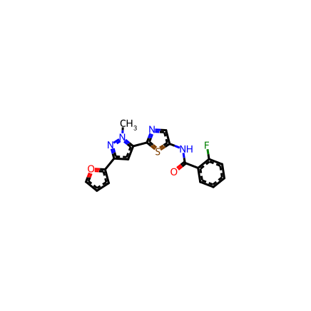 Cn1nc(-c2ccco2)cc1-c1ncc(NC(=O)c2ccccc2F)s1